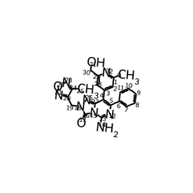 Cc1cc(-c2c(-c3ccccc3)nc(N)n3c(=O)n(Cc4nonc4C)nc23)cc(CO)n1